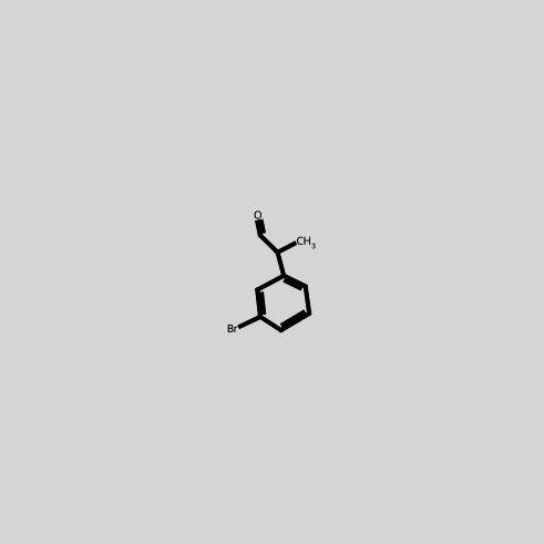 C[C](C=O)c1cccc(Br)c1